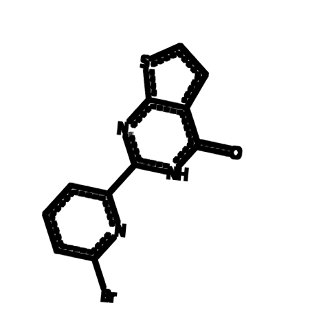 O=c1[nH]c(-c2cccc(Br)n2)nc2sccc12